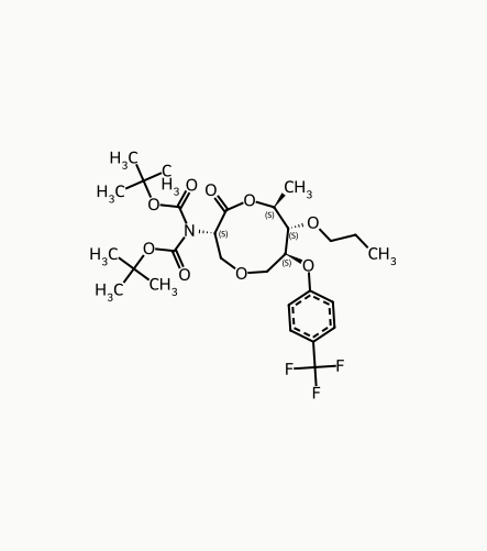 CCCO[C@H]1[C@H](C)OC(=O)[C@@H](N(C(=O)OC(C)(C)C)C(=O)OC(C)(C)C)COC[C@@H]1Oc1ccc(C(F)(F)F)cc1